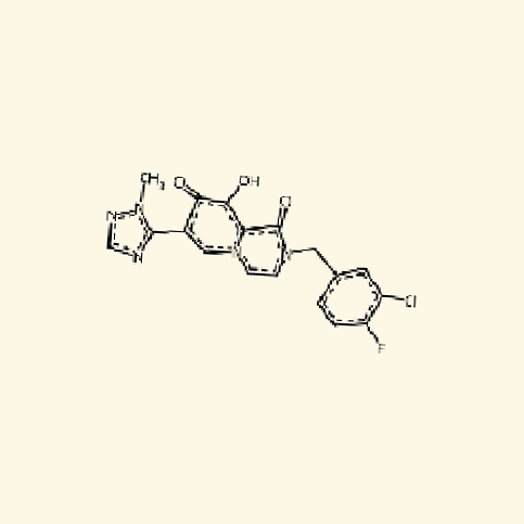 Cn1ncnc1-c1cn2ccn(Cc3ccc(F)c(Cl)c3)c(=O)c2c(O)c1=O